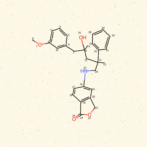 COc1cccc(CC(C)(O)CC(C)(CNc2ccc3c(c2)COC3=O)c2ccccc2)c1